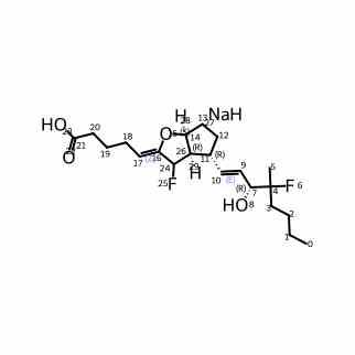 CCCCC(C)(F)[C@H](O)/C=C/[C@H]1CC[C@@H]2O/C(=C\CCCC(=O)O)C(F)[C@@H]21.[NaH]